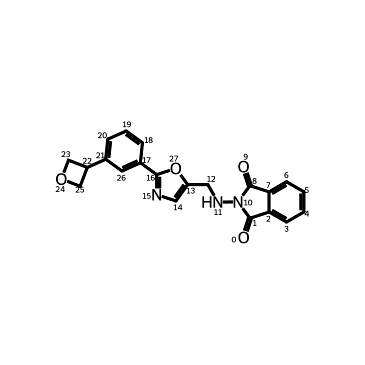 O=C1c2ccccc2C(=O)N1NCc1cnc(-c2cccc(C3COC3)c2)o1